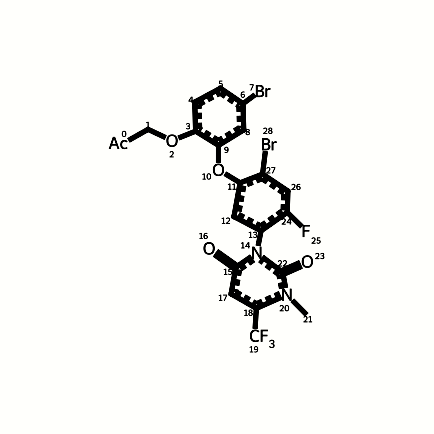 CC(=O)COc1ccc(Br)cc1Oc1cc(-n2c(=O)cc(C(F)(F)F)n(C)c2=O)c(F)cc1Br